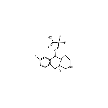 O=C(O)C(F)(F)F.O=C1c2cc(F)ccc2C[C@@H]2CNCCN12